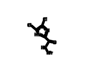 CCCNC(=O)c1nc(Cl)c(Cl)[nH]1